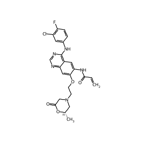 C=CC(=O)Nc1cc2c(Nc3ccc(F)c(Cl)c3)ncnc2cc1OCCN1CC(=O)O[C@@H](C)C1